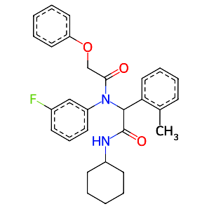 Cc1ccccc1C(C(=O)NC1CCCCC1)N(C(=O)COc1ccccc1)c1cccc(F)c1